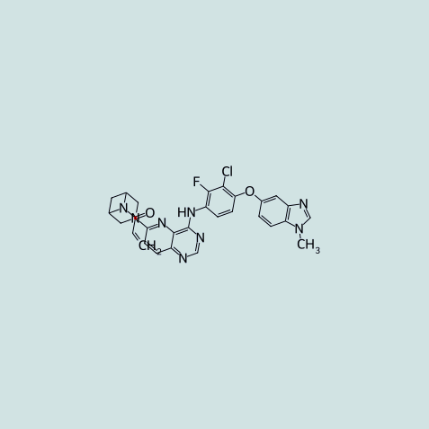 C=CC(=O)N1C2CC1CN(c1ccc3ncnc(Nc4ccc(Oc5ccc6c(c5)ncn6C)c(Cl)c4F)c3n1)C2